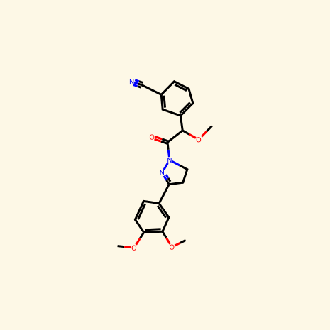 COc1ccc(C2=NN(C(=O)C(OC)c3cccc(C#N)c3)CC2)cc1OC